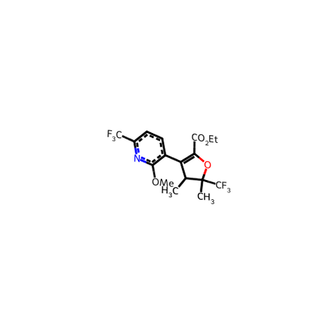 CCOC(=O)C1=C(c2ccc(C(F)(F)F)nc2OC)C(C)C(C)(C(F)(F)F)O1